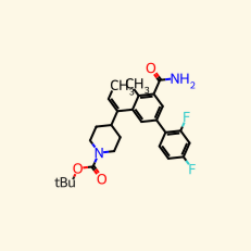 C/C=C(\c1cc(-c2ccc(F)cc2F)cc(C(N)=O)c1C)C1CCN(C(=O)OC(C)(C)C)CC1